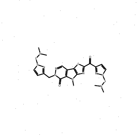 CN(C)Sn1ccc(Cn2ncc3c4sc(C(=O)c5ccn(SN(C)C)n5)nc4n(C)c3c2=O)n1